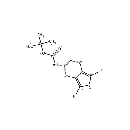 CC(C)(C)OC(=O)NC1CCc2c(F)sc(Br)c2C1